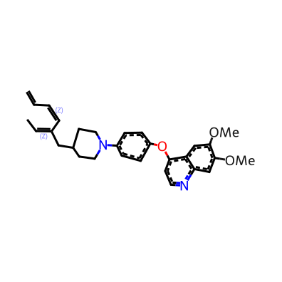 C=C/C=C\C(=C/C)CC1CCN(c2ccc(Oc3ccnc4cc(OC)c(OC)cc34)cc2)CC1